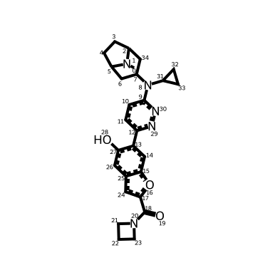 CN1C2CCC1CC(N(c1ccc(-c3cc4oc(C(=O)N5CCC5)cc4cc3O)nn1)C1CC1)C2